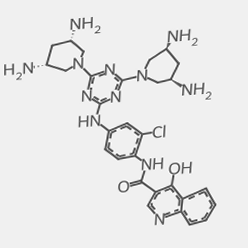 N[C@@H]1C[C@H](N)CN(c2nc(Nc3ccc(NC(=O)c4cnc5ccccc5c4O)c(Cl)c3)nc(N3C[C@H](N)C[C@H](N)C3)n2)C1